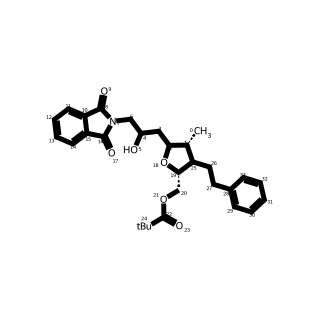 C[C@H]1C(CC(O)CN2C(=O)c3ccccc3C2=O)O[C@@H](COC(=O)C(C)(C)C)C1CCc1ccccc1